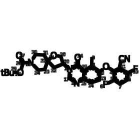 Cc1c(Oc2c(F)ccc(F)c2C#N)ccc2ncn(C3COC4(CCN(C(=O)OC(C)(C)C)CC4)C3)c(=O)c12